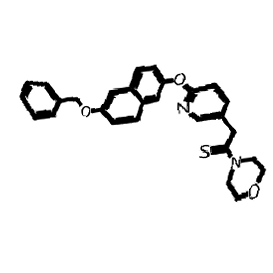 S=C(Cc1ccc(Oc2ccc3cc(OCc4ccccc4)ccc3c2)nc1)N1CCOCC1